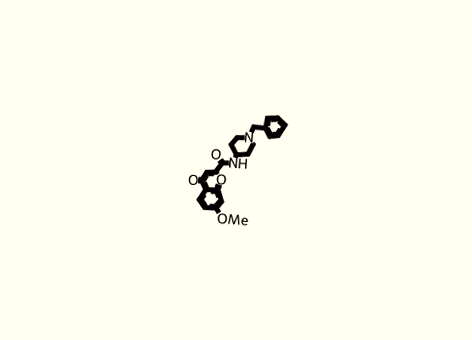 COc1ccc2c(=O)cc(C(=O)NC3CCN(Cc4ccccc4)CC3)oc2c1